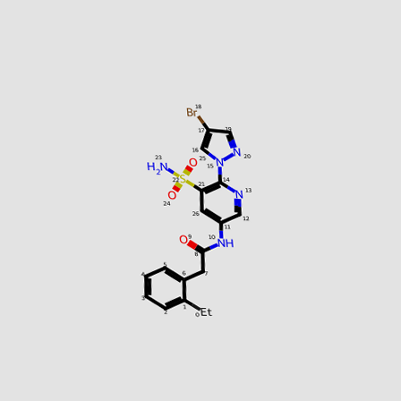 CCc1ccccc1CC(=O)Nc1cnc(-n2cc(Br)cn2)c(S(N)(=O)=O)c1